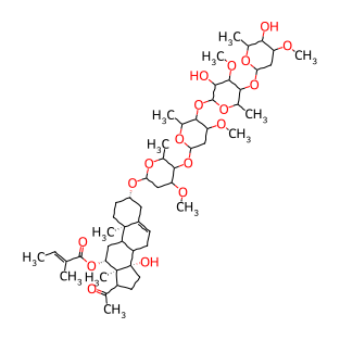 C/C=C(\C)C(=O)O[C@@H]1CC2C(CC=C3C[C@@H](OC4CC(OC)C(OC5CC(OC)C(OC6OC(C)C(OC7CC(OC)C(O)C(C)O7)C(OC)C6O)C(C)O5)C(C)O4)CC[C@@]32C)[C@@]2(O)CCC(C(C)=O)[C@@]12C